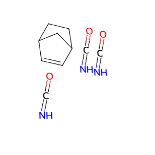 C1=CC2CCC1C2.N=C=O.N=C=O.N=C=O